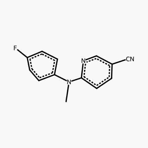 CN(c1ccc(F)cc1)c1ccc(C#N)cn1